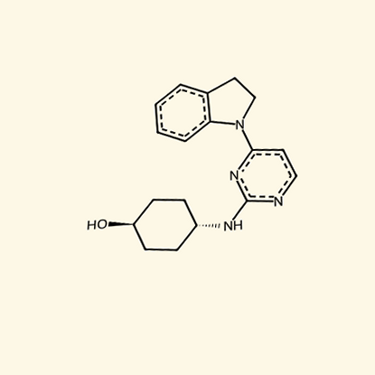 O[C@H]1CC[C@H](Nc2nccc(N3CCc4ccccc43)n2)CC1